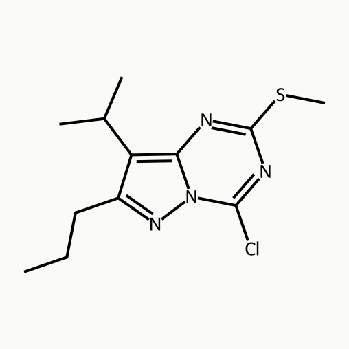 CCCc1nn2c(Cl)nc(SC)nc2c1C(C)C